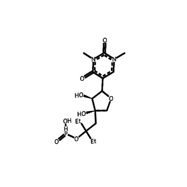 CCC(CC)(C[C@@]1(O)COC(c2cn(C)c(=O)n(C)c2=O)[C@@H]1O)O[PH](=O)O